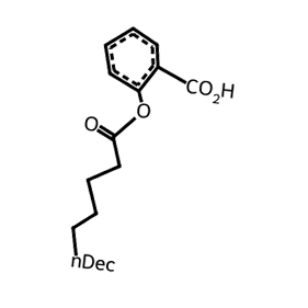 CCCCCCCCCCCCCCC(=O)Oc1ccccc1C(=O)O